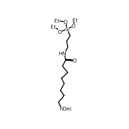 CCCCCCCCCCCCCCCCCC(=O)NCCC[Si](OCC)(OCC)OCC